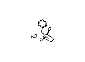 Cl.O=C1C2CCC(N2)C(=O)N1Cc1ccccc1